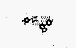 CC1=NN(c2ccc(C)c(C)c2)C(=O)/C1=N\Nc1cc2c(c(-c3ccc(F)c(C(=O)O)c3)c1O)CCC2